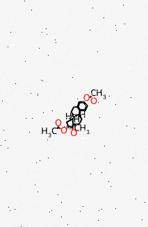 CC(=O)Oc1ccc2c(c1)CC[C@@H]1[C@@H]2CC[C@]2(C)C(=O)[C@H](OC(C)=O)C[C@@H]12